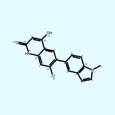 Cn1ccc2cc(-c3cc4c(O)cc(=O)[nH]c4cc3Cl)ccc21